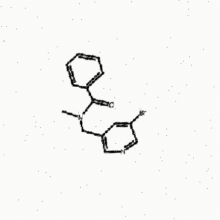 CN(Cc1cncc(Br)c1)C(=O)c1ccccc1